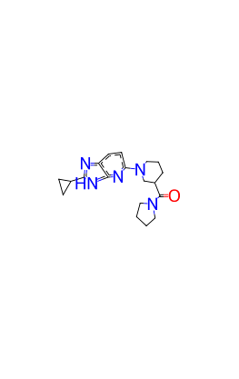 O=C(C1CCCN(c2ccc3nc(C4CC4)[nH]c3n2)C1)N1CCCC1